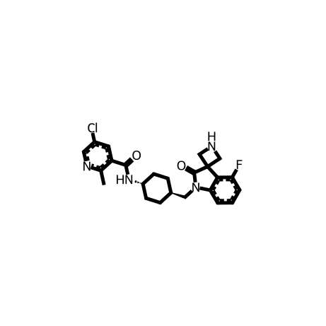 Cc1ncc(Cl)cc1C(=O)N[C@H]1CC[C@H](CN2C(=O)C3(CNC3)c3c(F)cccc32)CC1